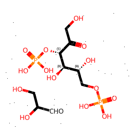 O=C(CO)[C@@H](OP(=O)(O)O)[C@H](O)[C@H](O)COP(=O)(O)O.O=CC(O)CO